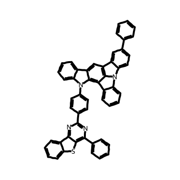 c1ccc(-c2ccc3c(c2)c2cc4c5ccccc5n(-c5ccc(-c6nc(-c7ccccc7)c7sc8ccccc8c7n6)cc5)c4c4c5ccccc5n3c24)cc1